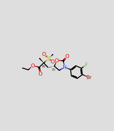 CCOC(=O)[C@@](C)(C[C@H]1CN(c2ccc(Br)c(F)c2)C(=O)O1)S(C)(=O)=O